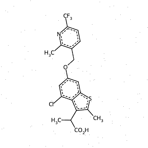 Cc1nc(C(F)(F)F)ccc1COc1cc(Cl)c2c(C(C)C(=O)O)c(C)sc2c1